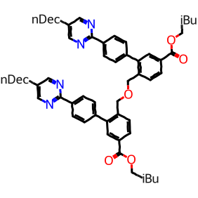 CCCCCCCCCCc1cnc(-c2ccc(-c3cc(C(=O)OCC(C)CC)ccc3COCc3ccc(C(=O)OCC(C)CC)cc3-c3ccc(-c4ncc(CCCCCCCCCC)cn4)cc3)cc2)nc1